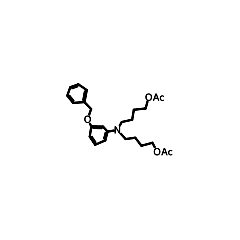 CC(=O)OCCCCN(CCCCOC(C)=O)c1cccc(OCc2ccccc2)c1